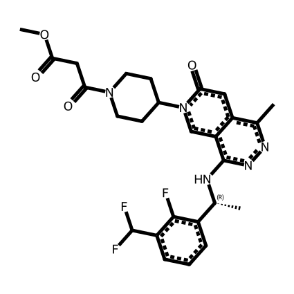 COC(=O)CC(=O)N1CCC(n2cc3c(N[C@H](C)c4cccc(C(F)F)c4F)nnc(C)c3cc2=O)CC1